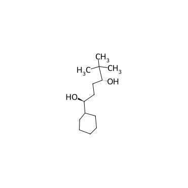 CC(C)(C)[C@H](O)CC[C@H](O)C1CCCCC1